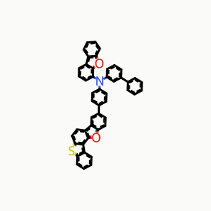 c1ccc(-c2cccc(N(c3ccc(-c4ccc5oc6c(ccc7sc8ccccc8c76)c5c4)cc3)c3cccc4c3oc3ccccc34)c2)cc1